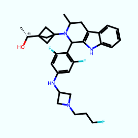 CC1Cc2c([nH]c3ccccc23)C(c2c(F)cc(NC3CN(CCCF)C3)cc2F)N1C12CC([C@@H](C)O)(C1)C2